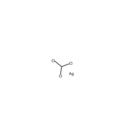 ClC(Cl)Cl.[Ag]